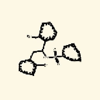 O=S(=O)(NC(Cc1ccccc1Br)c1ccccc1Br)c1ccccc1